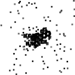 Cc1noc(-c2c(N)ncnc2NC(C)c2cc3c(F)ccc(Cl)c3c(=O)n2-c2cc[nH]n2)n1